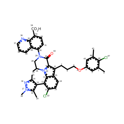 Cc1cc(OCCCc2c3n(c4c(-c5c(C)nn(C)c5C)c(Cl)ccc24)C(C)CN(c2ccc(C(=O)O)c4ncccc24)C3=O)cc(C)c1Cl